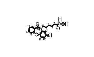 O=C(CCCCCN1C(=O)c2ccccc2Oc2ccc(Cl)cc21)NO